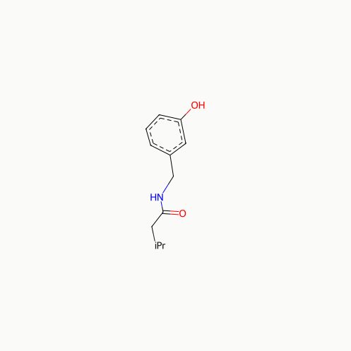 CC(C)CC(=O)NCc1cccc(O)c1